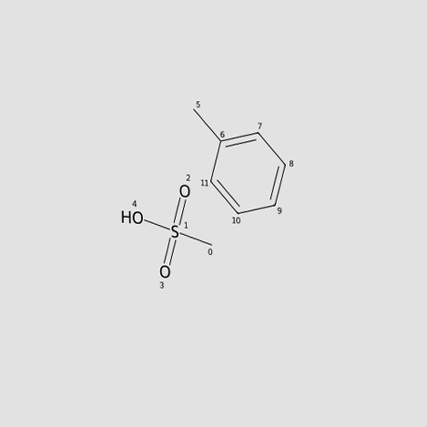 CS(=O)(=O)O.Cc1ccccc1